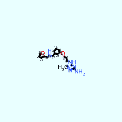 Cn1nc(N)nc1NCCCOc1cccc(CNCc2ccco2)c1